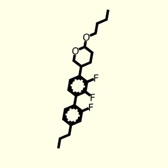 CCCCOC1CCC(c2ccc(-c3ccc(CCC)cc3F)c(F)c2F)CO1